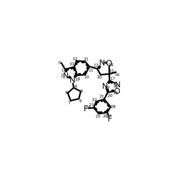 Cc1nn(C2CCCC2)c2cc(C3=NOC(C)(c4noc(-c5cc(F)cc(F)c5)n4)C3)ccc12